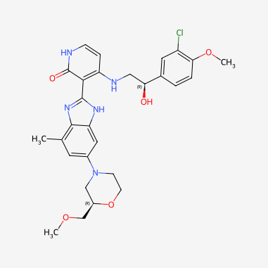 COC[C@H]1CN(c2cc(C)c3nc(-c4c(NC[C@H](O)c5ccc(OC)c(Cl)c5)cc[nH]c4=O)[nH]c3c2)CCO1